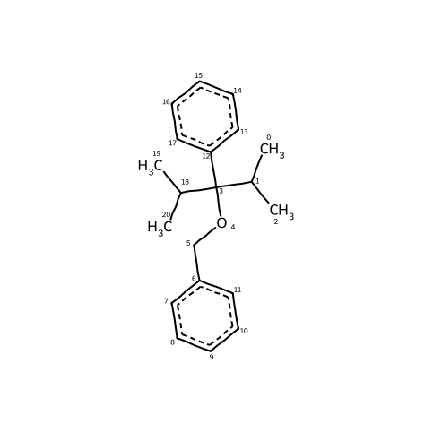 CC(C)C(OCc1ccccc1)(c1ccccc1)C(C)C